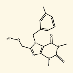 CCCOCc1nc2c(c(=O)n(C)c(=O)n2C)n1Cc1cccc(C)c1